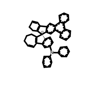 C1=CC2=C(CCC1)[C@]1(C3=C(C=CCC3)c3cc4c5ccccc5c5ccccc5c4cc31)c1ccc(N(c3ccccc3)c3ccccc3)cc12